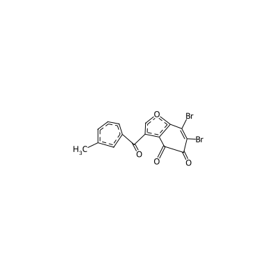 Cc1cccc(C(=O)c2coc3c2C(=O)C(=O)C(Br)=C3Br)c1